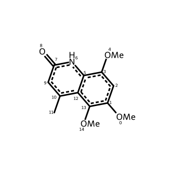 COc1cc(OC)c2[nH]c(=O)cc(C)c2c1OC